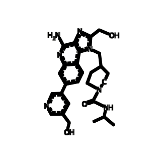 CC(C)NC(=O)N1CCC(Cn2c(CO)nc3c(N)nc4cc(-c5cncc(CO)c5)ccc4c32)CC1